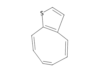 C1=CC=Cc2sccc2C=C1